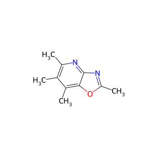 Cc1nc2nc(C)c(C)c(C)c2o1